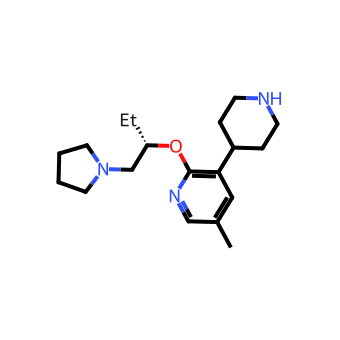 CC[C@@H](CN1CCCC1)Oc1ncc(C)cc1C1CCNCC1